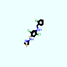 Fc1ccccc1CNc1cc(F)c(SNc2cscn2)cc1Cl